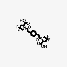 O=C(O)C1CC(F)(F)CN1C(=O)Cc1ccc(CC(=O)N2CC(F)(F)CC2C(=O)O)cc1